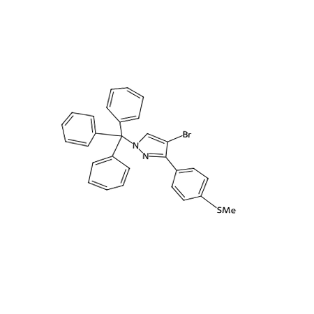 CSc1ccc(-c2nn(C(c3ccccc3)(c3ccccc3)c3ccccc3)cc2Br)cc1